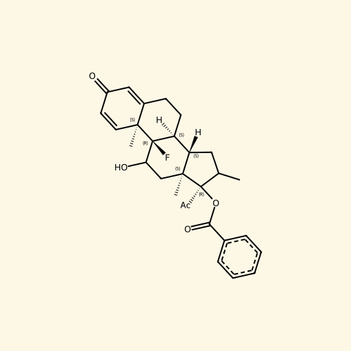 CC(=O)[C@@]1(OC(=O)c2ccccc2)C(C)C[C@H]2[C@@H]3CCC4=CC(=O)C=C[C@]4(C)[C@@]3(F)C(O)C[C@@]21C